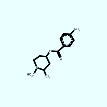 O=C(OC1CCN(C(=O)O)C(C(F)(F)F)C1)c1ccc([N+](=O)[O-])cc1